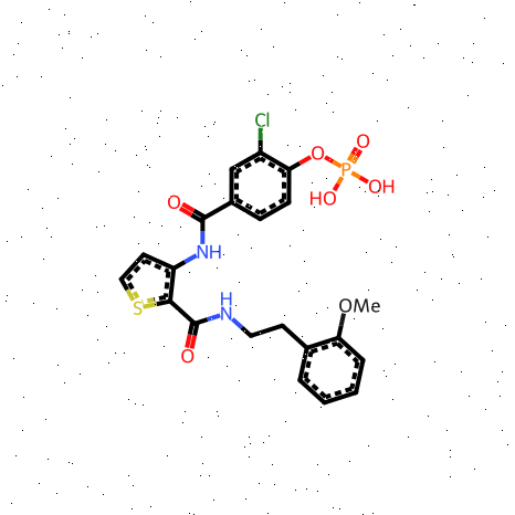 COc1ccccc1CCNC(=O)c1sccc1NC(=O)c1ccc(OP(=O)(O)O)c(Cl)c1